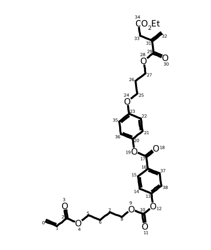 C=CC(=O)OCCCCOC(=O)Oc1ccc(C(=O)Oc2ccc(OCCCOC(=O)C(=C)CC(=O)OCC)cc2)cc1